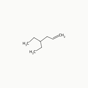 C=CC[C](CC)CC